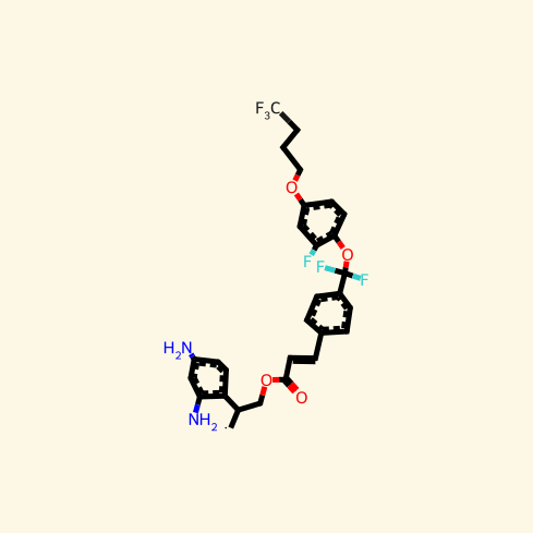 [CH2]C(COC(=O)/C=C/c1ccc(C(F)(F)Oc2ccc(OCCCC(F)(F)F)cc2F)cc1)c1ccc(N)cc1N